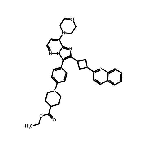 CCOC(=O)C1CCN(c2ccc(-c3c(C4CC(c5ccc6ccccc6n5)C4)nc4c(N5CCOCC5)ccnn34)cc2)CC1